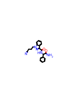 N#CCCCn1nc(C(=O)N[C@H](C(N)=O)c2ccccc2)c2ccccc21